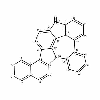 c1ccc2c(c1)ccc1c2c2ccc3[nH]c4cccc5c6ccccc6n1c2c3c45